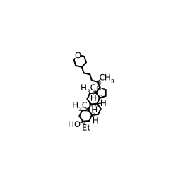 CC[C@]1(O)CC[C@@]2(C)[C@H](CC[C@@H]3[C@@H]2CC[C@]2(C)[C@@H]([C@H](C)CCCC4CCOCC4)CC[C@@H]32)C1